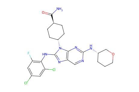 NC(=O)[C@H]1CC[C@H](n2c(Nc3c(F)cc(Cl)cc3Cl)nc3cnc(N[C@H]4CCCOC4)nc32)CC1